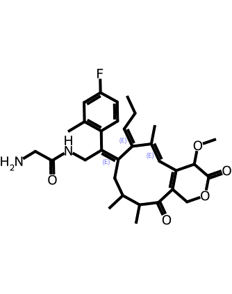 CC/C=C1C(\C)=C\C2=C(COC(=O)C2OC)C(=O)C(C)C(C)CC\1=C(/CNC(=O)CN)c1ccc(F)cc1C